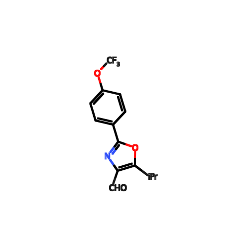 CC(C)c1oc(-c2ccc(OC(F)(F)F)cc2)nc1C=O